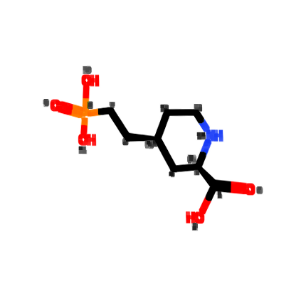 O=C(O)[C@H]1C[C@@H](CCP(=O)(O)O)CCN1